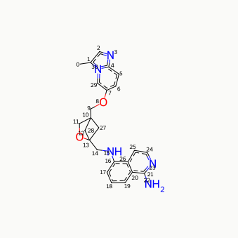 Cc1cnc2ccc(OCC34COC(CNc5cccc6c(N)nccc56)(C3)C4)cn12